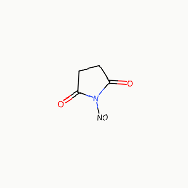 O=NN1C(=O)CCC1=O